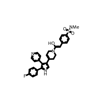 CNS(=O)(=O)c1ccc(C=C(O)N2CC=C(c3c[nH]c(-c4ccc(F)cc4)c3-c3ccncc3)CC2)cc1